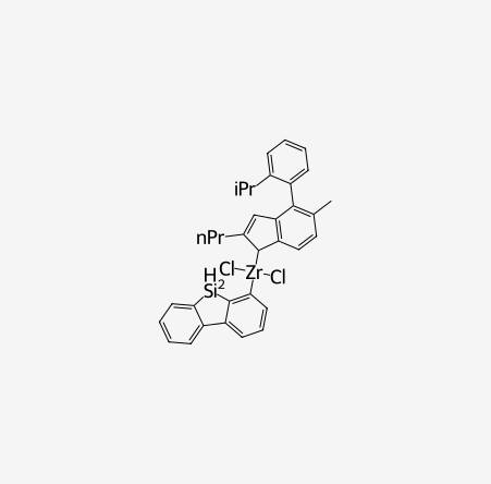 CCCC1=Cc2c(ccc(C)c2-c2ccccc2C(C)C)[CH]1[Zr]([Cl])([Cl])[c]1cccc2c1[SiH2]c1ccccc1-2